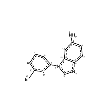 Nc1ccc2ncn(-c3cccc(Br)n3)c2c1